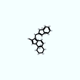 CC1=CC2C(=C1CC1=Cc3ccccc3C1)C=CC1=C2CCCC1